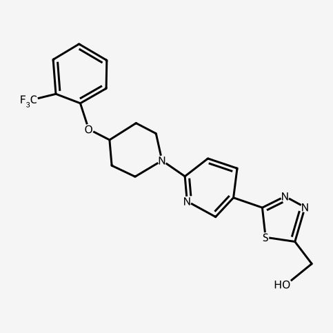 OCc1nnc(-c2ccc(N3CCC(Oc4ccccc4C(F)(F)F)CC3)nc2)s1